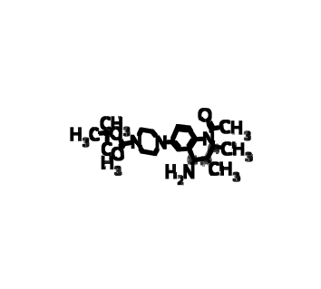 CC(=O)N1c2ccc(N3CCN(C(=O)OC(C)(C)C)CC3)cc2[C@H](N)[C@@H](C)[C@@H]1C